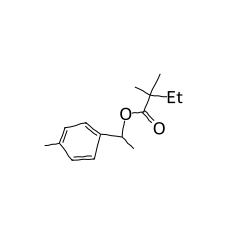 CCC(C)(C)C(=O)OC(C)c1ccc(C)cc1